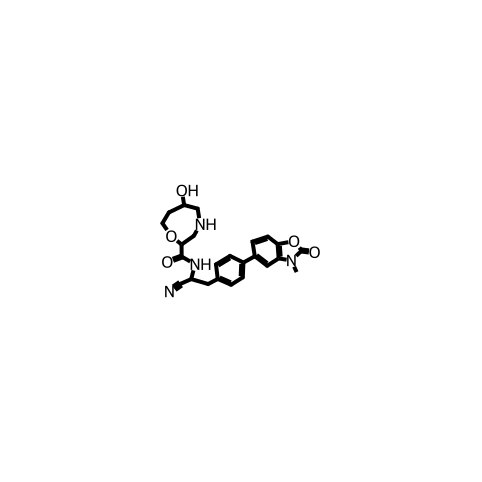 Cn1c(=O)oc2ccc(-c3ccc(CC(C#N)NC(=O)C4CNCC(O)CCO4)cc3)cc21